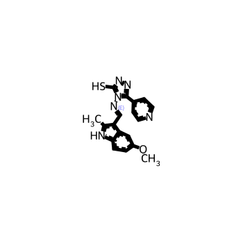 COc1ccc2[nH]c(C)c(/C=N/n3c(S)nnc3-c3ccncc3)c2c1